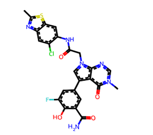 Cc1nc2cc(Cl)c(NC(=O)Cn3cc(-c4cc(F)c(O)c(C(N)=O)c4)c4c(=O)n(C)cnc43)cc2s1